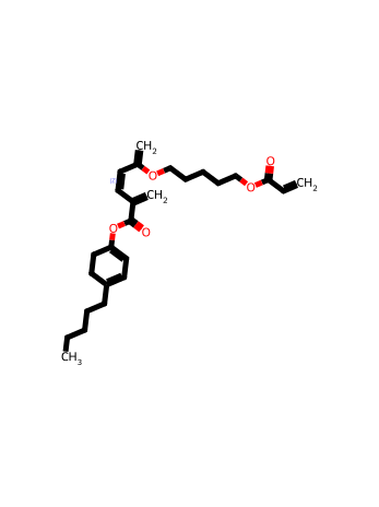 C=CC(=O)OCCCCCOC(=C)/C=C\C(=C)C(=O)OC1=CC=C(CCCCC)CC1